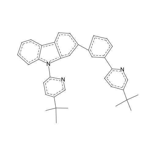 CC(C)(C)c1ccc(-c2cccc(-c3ccc4c5ccccc5n(-c5ccc(C(C)(C)C)cn5)c4c3)c2)nc1